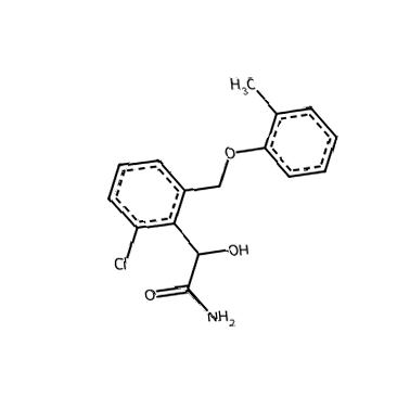 Cc1ccccc1OCc1cccc(Cl)c1C(O)C(N)=O